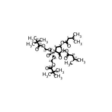 CC(C)CC(=O)OC1C[C@H](P(=O)(OCOC(=O)C(C)(C)C)OCOC(=O)C(C)(C)C)C(=O)N1OC(=O)CC(C)C